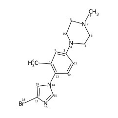 Cc1cc(N2CCN(C)CC2)ccc1-n1cnc(Br)c1